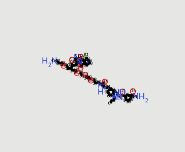 CCCn1/c(=N/C(=O)c2cccc(C(N)=O)c2)[nH]c2cc(/C=C/C(=O)NCCCOCCOCCOCCC(CCOCCCN)C(C)CC(C(N)=O)N3C(=O)c4cccc(F)c4C3=O)ccc21